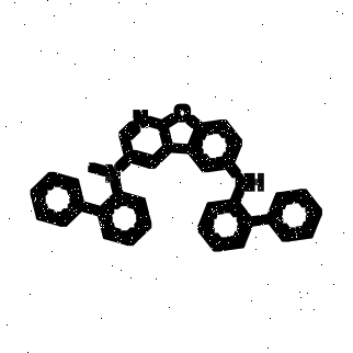 CN(C1=CC2c3cc(Nc4ccccc4-c4ccccc4)ccc3OC2N=C1)c1ccccc1-c1ccccc1